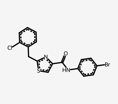 O=C(Nc1ccc(Br)cc1)c1csc(Cc2ccccc2Cl)n1